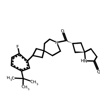 CC(C)(C)c1ccc(F)c(C2CC3(CCN(C(=O)[C@H]4C[C@]5(CCC(=O)N5)C4)CC3)C2)c1